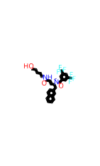 CN(C(=O)c1cc(C(F)(F)F)cc(C(F)(F)F)c1)C(C=CC(=O)NCCCCCO)Cc1ccc2ccccc2c1